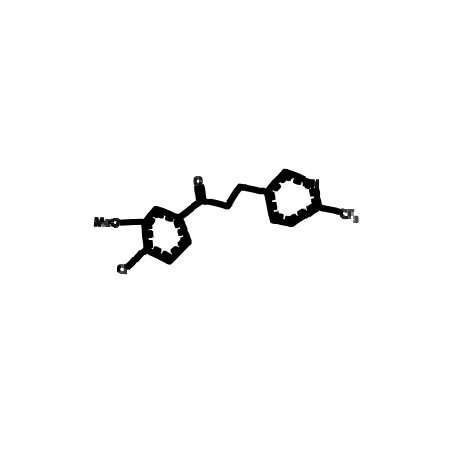 COc1cc(C(=O)CCc2ccc(C(F)(F)F)nc2)ccc1Cl